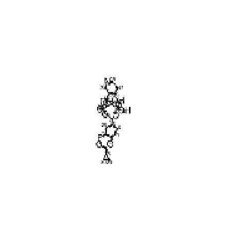 O=C(Oc1ccc(C2OP(=O)(O)C(O)(Cc3cccnc3)P(=O)(O)O2)cc1F)C1CC1